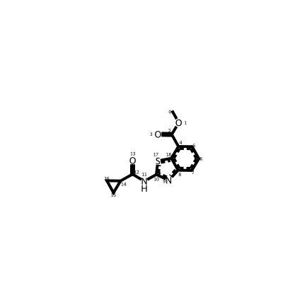 COC(=O)c1cccc2nc(NC(=O)C3CC3)sc12